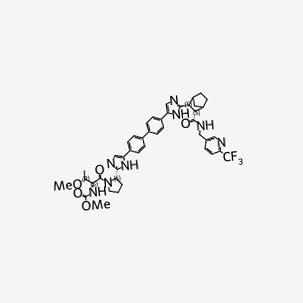 COC(=O)N[C@H](C(=O)N1CCC[C@H]1c1ncc(-c2ccc(-c3ccc(-c4cnc([C@H]5C6CCC(C6)[C@@H]5C(=O)NCc5ccc(C(F)(F)F)nc5)[nH]4)cc3)cc2)[nH]1)[C@@H](C)OC